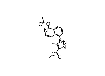 COC(=O)c1nnn(-c2cccc3c(OC(C)=O)nccc23)c1C